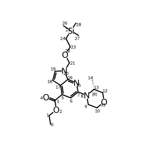 CCOC(=O)c1cc(N2CCOC[C@H]2C)nc2c1ccn2COCC[Si](C)(C)C